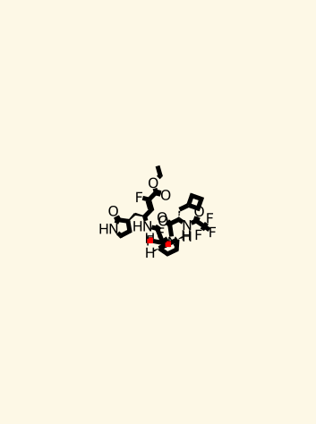 CCOC(=O)/C(F)=C/[C@H](C[C@H]1CCNC1=O)NC(=O)[C@@H]1[C@@H]2CC[C@@H](CC2(F)F)N1C(=O)[C@H](CC1CCC1)NC(=O)C(F)(F)F